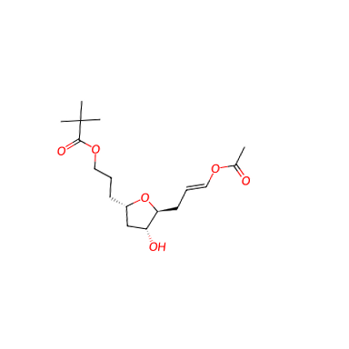 CC(=O)O/C=C/C[C@@H]1O[C@@H](CCCOC(=O)C(C)(C)C)C[C@H]1O